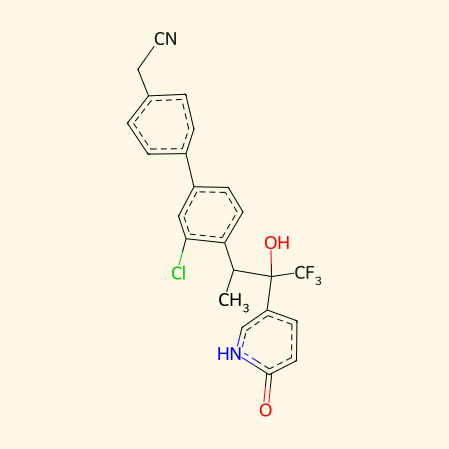 CC(c1ccc(-c2ccc(CC#N)cc2)cc1Cl)C(O)(c1ccc(=O)[nH]c1)C(F)(F)F